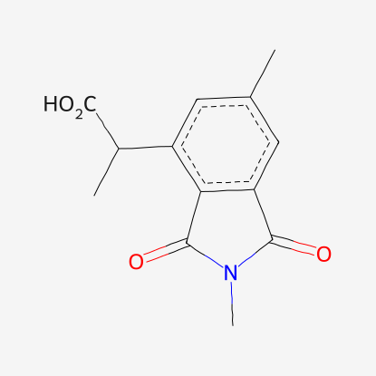 Cc1cc2c(c(C(C)C(=O)O)c1)C(=O)N(C)C2=O